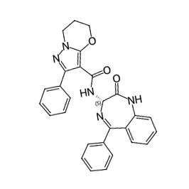 O=C(N[C@H]1N=C(c2ccccc2)c2ccccc2NC1=O)c1c(-c2ccccc2)nn2c1OCCC2